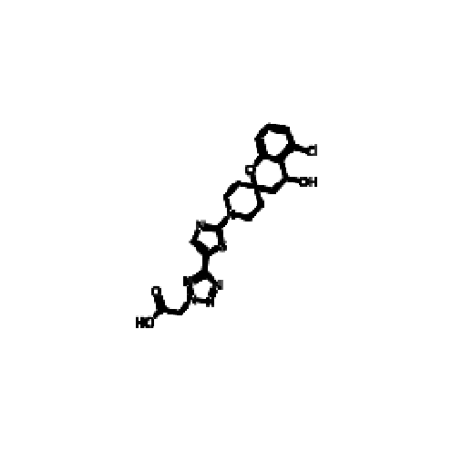 O=C(O)Cn1nnc(-c2cnc(N3CCC4(CC3)CC(O)c3c(Cl)cccc3O4)s2)n1